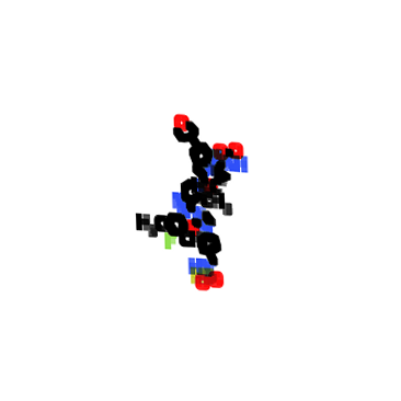 Cc1cc(-n2nc3c(c2-n2ccn(-c4ccc(CN[SH](=O)=O)cc4)c2=O)[C@H](C)N(C(=O)c2cc4cc(C5CCOCC5)ccc4n2[C@@]2(c4noc(=O)[nH]4)C[C@@H]2C)CC3)cc(C)c1F